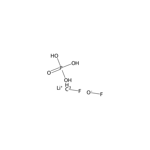 CF.O=P(O)(O)O.[Li+].[O-]F